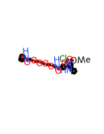 COC(=O)[C@H]1Cc2c([nH]c3ccccc23)[C@H](c2ccc(C(=O)NCCOCCOCCOCCOCCC(=O)NC34CC5CC(CC(C5)C3)C4)cc2)N1C(=O)CCl